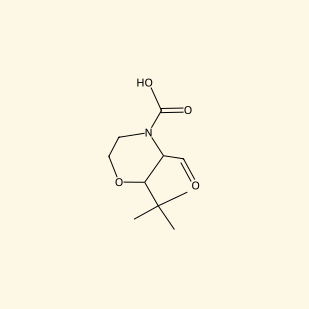 CC(C)(C)C1OCCN(C(=O)O)C1C=O